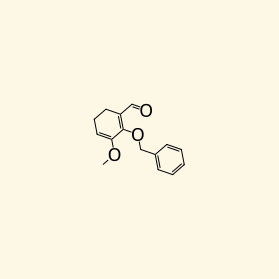 COC1=CCCC(C=O)=C1OCc1ccccc1